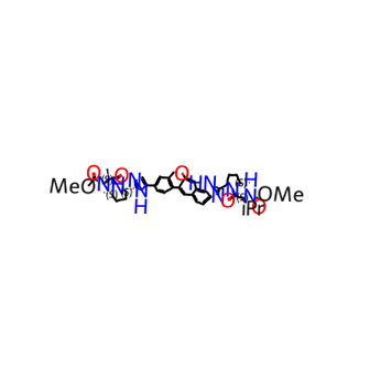 COC(=O)N[C@@H](C)C(=O)N1[C@@H](C)CC[C@H]1c1ncc(-c2ccc3c(c2)COc2cc4c(ccc5nc(C6CC[C@H](C)N6C(=O)[C@@H](NC(=O)OC)C(C)C)[nH]c54)cc2-3)[nH]1